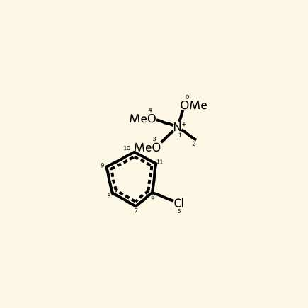 CO[N+](C)(OC)OC.Clc1ccccc1